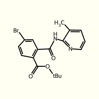 Cc1cccnc1NC(=O)c1cc(Br)ccc1C(=O)OC(C)(C)C